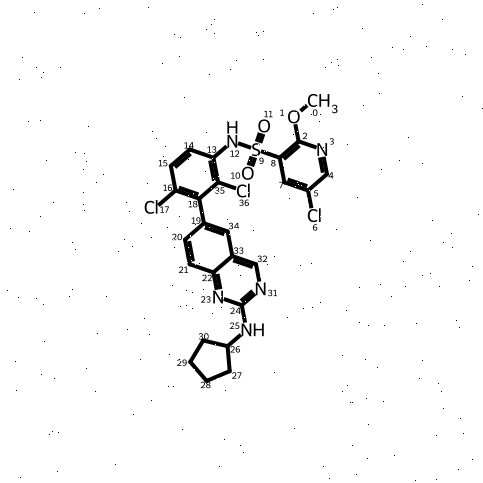 COc1ncc(Cl)cc1S(=O)(=O)Nc1ccc(Cl)c(-c2ccc3nc(NC4CCCC4)ncc3c2)c1Cl